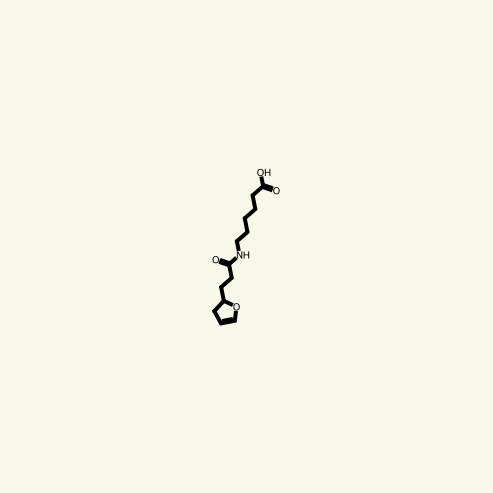 O=C(O)CCCCCNC(=O)CCC1CC=CO1